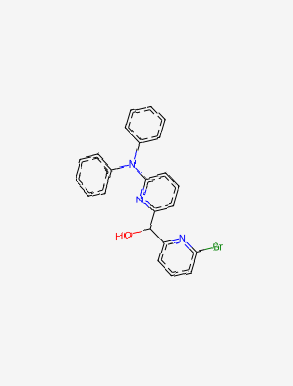 OC(c1cccc(Br)n1)c1cccc(N(c2ccccc2)c2ccccc2)n1